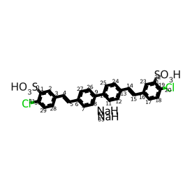 O=S(=O)(O)c1cc(C=Cc2ccc(-c3ccc(C=Cc4ccc(Cl)c(S(=O)(=O)O)c4)cc3)cc2)ccc1Cl.[NaH].[NaH]